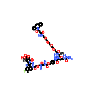 CC[C@@]1(O)C(=O)OCc2c1cc1n(c2=O)Cc2c-1nc1cc(F)c(C)c3c1c2[C@@H](NC(=O)COCNC(=O)CNC(=O)OCc1ccc(NC(=O)[C@H](CCCNC(N)=O)NC(=O)[C@@H](NC(=O)CCOCCOCCOCCOCCNC(=O)CCC(=O)N2Cc4ccccc4/C=C\c4ccccc42)C(C)C)cc1)CC3